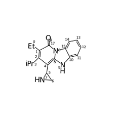 CCc1c(C(C)C)c(C2CN2)c2[nH]c3ccccc3n2c1=O